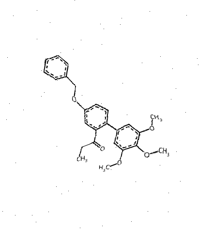 CCC(=O)c1cc(OCc2ccccc2)ccc1-c1cc(OC)c(OC)c(OC)c1